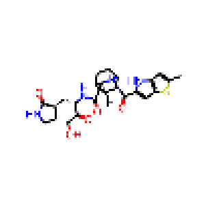 Cc1cc2[nH]c(C(=O)N3C4CCC(CC4)[C@H]3C(=O)N[C@@H](C[C@H]3CCNC3=O)C(=O)CO)cc2s1